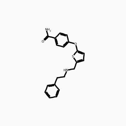 NC(=O)c1ccc(Oc2ccc(CNCCc3ccccc3)s2)cc1